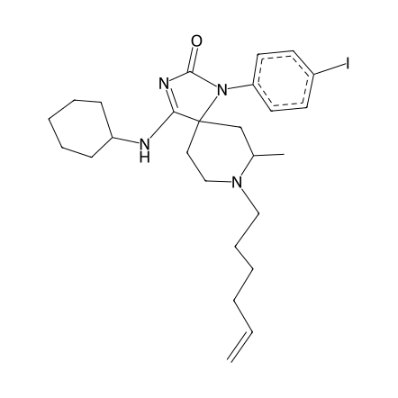 C=CCCCCN1CCC2(CC1C)C(NC1CCCCC1)=NC(=O)N2c1ccc(I)cc1